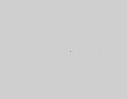 O=Cc1ccc(S(=O)(=O)N2CCC(O)CC2)cc1